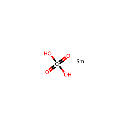 [O]=[Cr](=[O])([OH])[OH].[Sm]